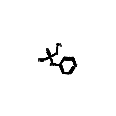 COP(=O)(O)Nc1ccncc1